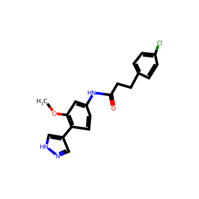 COc1cc(NC(=O)CCc2ccc(Cl)cc2)ccc1-c1cn[nH]c1